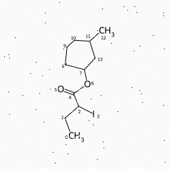 CCC(I)C(=O)OC1CCCC(C)C1